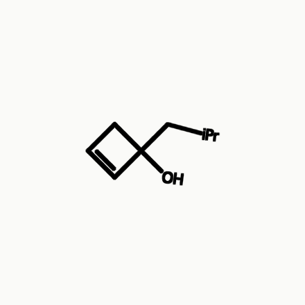 CC(C)CC1(O)C=CC1